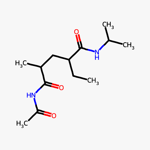 CCC(CC(C)C(=O)NC(C)=O)C(=O)NC(C)C